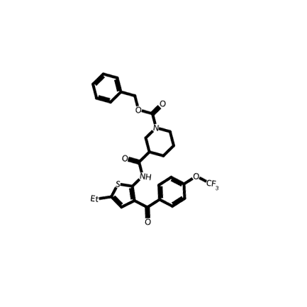 CCc1cc(C(=O)c2ccc(OC(F)(F)F)cc2)c(NC(=O)C2CCCN(C(=O)OCc3ccccc3)C2)s1